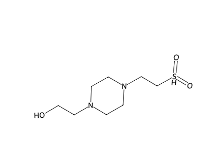 O=[SH](=O)CCN1CCN(CCO)CC1